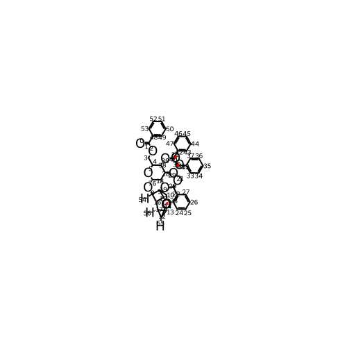 O=C(OCC1O[C@@H](O[C@@H]2C3CO[C@@H]4C5OC3C2[C@@H]54)[C@@H](OC(=O)c2ccccc2)C(OC(=O)c2ccccc2)[C@@H]1OC(=O)c1ccccc1)c1ccccc1